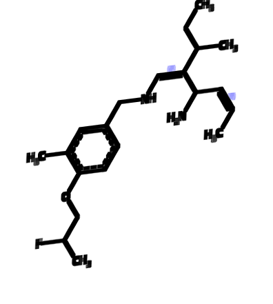 C/C=C\C(N)/C(=C\NCc1ccc(OCC(C)F)c(C)c1)C(C)CC